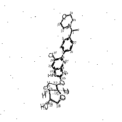 CC(c1ccc(-c2nc3nc(O[C@@H]4CO[C@H]5[C@@H]4OC[C@H]5O)[nH]c3cc2Cl)cc1)N1CCOCC1